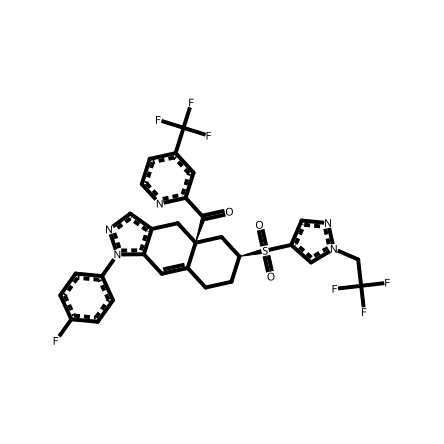 O=C(c1cc(C(F)(F)F)ccn1)[C@]12Cc3cnn(-c4ccc(F)cc4)c3C=C1CC[C@H](S(=O)(=O)c1cnn(CC(F)(F)F)c1)C2